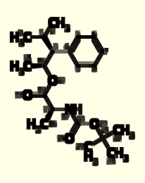 CC(C)[C@@H](c1ccccc1)[C@H](C)OC(=O)[C@H](C)NC(=O)OC(C)(C)C